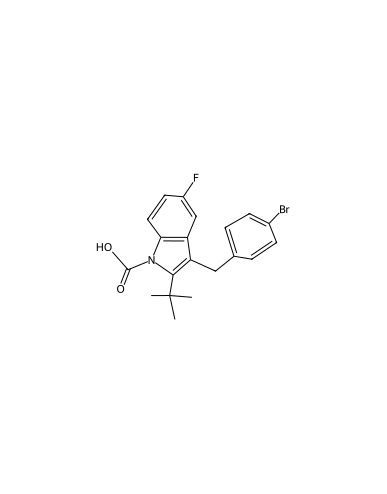 CC(C)(C)c1c(Cc2ccc(Br)cc2)c2cc(F)ccc2n1C(=O)O